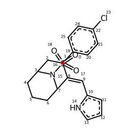 O=C1CC2CCCC(/C1=C\c1ccc[nH]1)N2S(=O)(=O)c1ccc(Cl)cc1